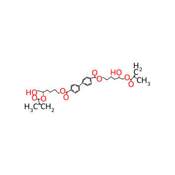 C=C(C)C(=O)OCC(O)CCCCOC(=O)c1ccc(-c2ccc(C(=O)OCCCCC(CO)OC(=O)C(=C)C)cc2)cc1